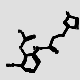 CCC(=O)Oc1c(NC(=O)CCc2c[nH]cn2)cccc1OC